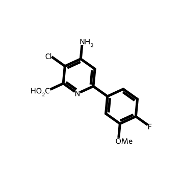 COc1cc(-c2cc(N)c(Cl)c(C(=O)O)n2)ccc1F